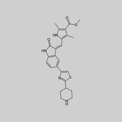 COC(=O)c1c(C)[nH]c(/C=C2\C(=O)Nc3ccc(-c4csc(C5CCNCC5)n4)cc32)c1C